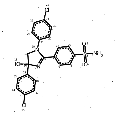 NS(=O)(=O)c1ccc(C2=NC(O)(c3ccc(Cl)cc3)CN2c2ccc(Cl)cc2)cc1